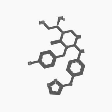 C[C@@H](CO)N1CNC(Nc2ccc(Oc3ccon3)cc2)N(Cc2ccc(Cl)cc2)C1=O